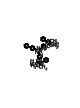 CC1(C)N=C(c2ccccc2)N(c2ccc(-c3nc(-c4ccc(-c5ccccc5)cc4)nc(-c4ccc(N5C(c6ccccc6)=NC(C)(C)C5(C)C)cn4)n3)nc2)C1(C)C